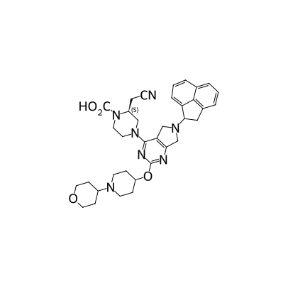 N#CC[C@H]1CN(c2nc(OC3CCN(C4CCOCC4)CC3)nc3c2CN(C2Cc4cccc5cccc2c45)C3)CCN1C(=O)O